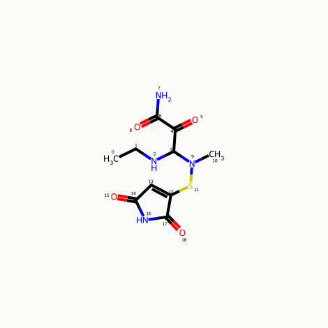 CCNC(C(=O)C(N)=O)N(C)SC1=CC(=O)NC1=O